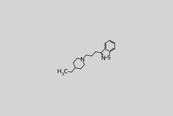 CCC1CCN(CCCc2nsc3ccccc23)CC1